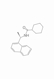 C[C@@H](NC(=O)C1CCCCC1)c1cccc2ccccc12